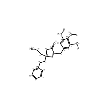 COc1cc(CN2CC(CCO)(CCc3ccccc3)CC2=O)cc(OC)c1OC